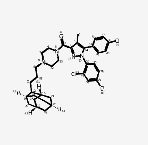 Cc1c(C(=O)N2CCN(CCCC3[C@H]4C[C@@H]5C[C@@H](C[C@H]3C5)C4)CC2)nn(-c2ccc(Cl)cc2Cl)c1-c1ccc(Cl)cc1